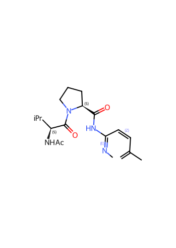 C=C(C)/C=C\C(=N/C)NC(=O)[C@@H]1CCCN1C(=O)[C@@H](NC(C)=O)C(C)C